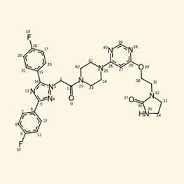 O=C(Cn1nc(-c2ccc(F)cc2)nc1-c1ccc(F)cc1)N1CCN(c2cc(OCCN3CCNC3=O)ncn2)CC1